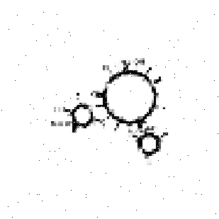 CC[C@H]1OC(=O)[C@H](C)[C@@H](O[C@H]2C[C@@](C)(OC)[C@@H](O)[C@H](C)O2)[C@H](C)[C@@H](O[C@@H]2O[C@H](C)C[C@H](C)[C@H]2O)[C@](C)(O)C[C@@H](C)CN(C)[C@H](C)[C@@H](O)[C@]1(C)O